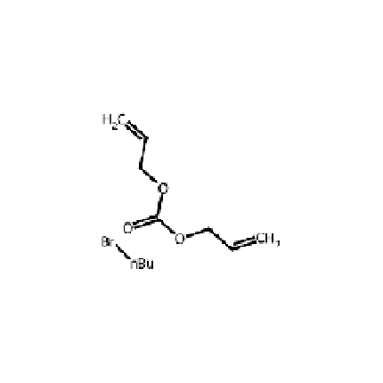 C=CCOC(=O)OCC=C.CCCCBr